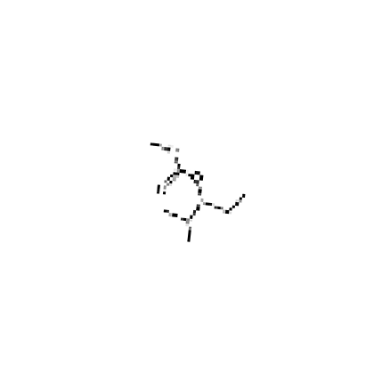 CCC(OC(=O)OC)C(C)C